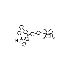 CC1(C)c2ccccc2-c2ccc(-c3ccc(-c4ccc(N(c5ccc(-c6ccccc6-c6ccccc6)cc5)c5ccc6c(c5)C(C)(C)c5ccccc5-6)cc4)cc3)cc21